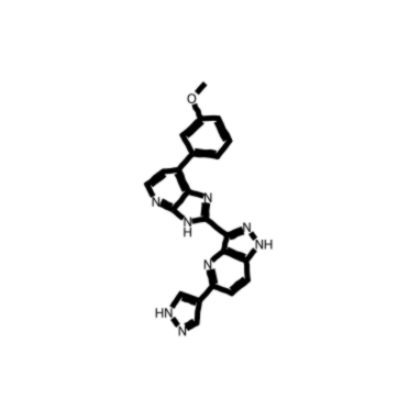 COc1cccc(-c2ccnc3[nH]c(-c4n[nH]c5ccc(-c6cn[nH]c6)nc45)nc23)c1